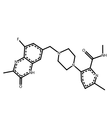 CNC(=O)c1nc(C)ccc1N1CCN(Cc2cc(F)c3nc(C)c(=O)[nH]c3c2)CC1